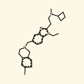 CCn1c(CCN(C)C2CCC2)nc2cc(CN3CCc4cc(F)ccc4C3)ccc21